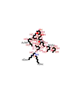 CCCCCCCCCCCCC/C=C/[C@@H](O)[C@H](CO[C@@H]1OC(CO)[C@@H](O[C@@H]2OC(CO[C@@H]3OC(CO)[C@@H](O)[C@H](O[C@H]4OC(C)[C@@H](O)C(O)[C@@H]4O)C3NC(C)=O)[C@H](O)[C@H](O[C@@H]3OC(CO)[C@@H](O[C@H]4OC(C)[C@@H](O)C(O)[C@@H]4O)[C@H](O[C@@H]4OC(CO)[C@H](O)[C@H](O[C@]5(C(=O)O)CC(O)[C@@H](NC(C)=O)C([C@H](O)[C@H](O)CO)O5)C4O)C3NC(C)=O)C2O)[C@H](O)C1O)NC(=O)CCCCCCCCCCCCCCC